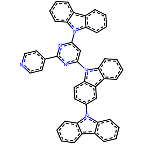 c1ccc2c(c1)c1ccccc1n2-c1ccc2c(c1)c1ccccc1n2-c1cc(-n2c3ccccc3c3ccccc32)nc(-c2ccncc2)n1